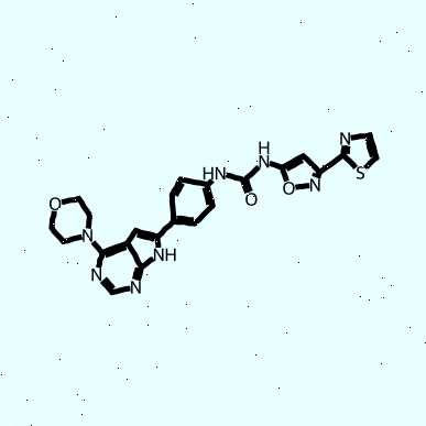 O=C(Nc1ccc(-c2cc3c(N4CCOCC4)ncnc3[nH]2)cc1)Nc1cc(-c2nccs2)no1